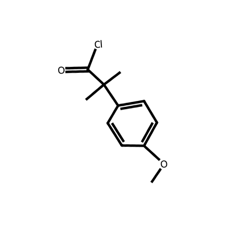 COc1ccc(C(C)(C)C(=O)Cl)cc1